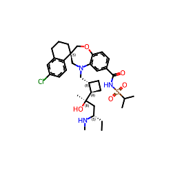 CC[C@@H](C[C@@](C)(O)[C@@H]1CC[C@H]1CN1C[C@@]2(CCCc3cc(Cl)ccc32)COc2ccc(C(=O)NS(=O)(=O)C(C)C)cc21)NC